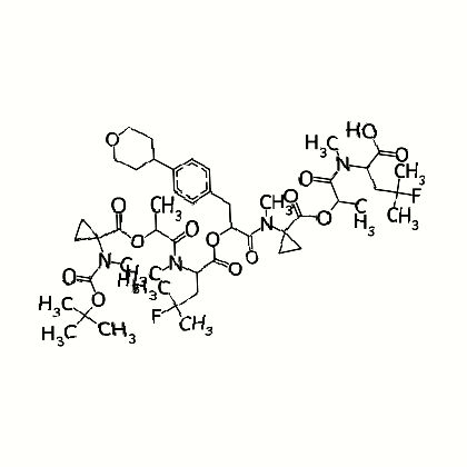 CC(OC(=O)C1(N(C)C(=O)C(Cc2ccc(C3CCOCC3)cc2)OC(=O)C(CC(C)(C)F)N(C)C(=O)C(C)OC(=O)C2(N(C)C(=O)OC(C)(C)C)CC2)CC1)C(=O)N(C)C(CC(C)(C)F)C(=O)O